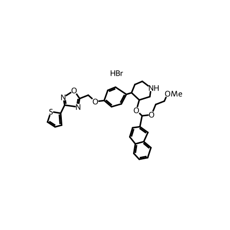 Br.COCCOC(OC1CNCCC1c1ccc(OCc2nc(-c3cccs3)no2)cc1)c1ccc2ccccc2c1